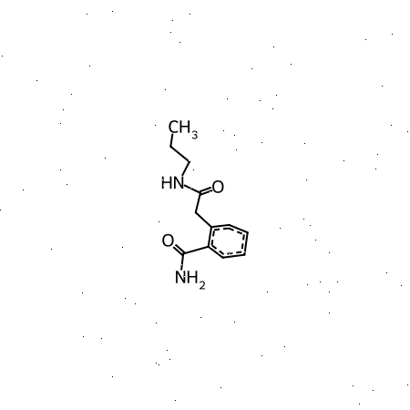 CCCNC(=O)Cc1ccccc1C(N)=O